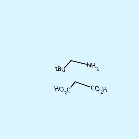 CC(C)(C)CN.O=C(O)CC(=O)O